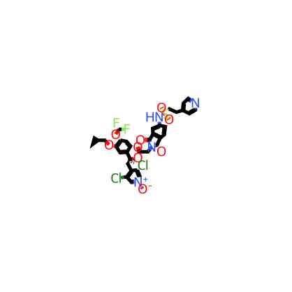 O=C(CN1C(=O)c2ccc(NS(=O)(=O)CCc3ccncc3)cc2C1=O)O[C@@H](Cc1c(Cl)c[n+]([O-])cc1Cl)c1ccc(OC(F)F)c(OCC2CC2)c1